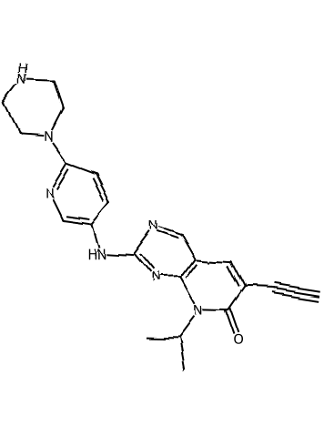 C#Cc1cc2cnc(Nc3ccc(N4CCNCC4)nc3)nc2n(C(C)C)c1=O